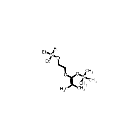 CC[Si](CC)(CC)OCCOC(O[Si](C)(C)C)=C(C)C